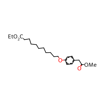 CCOC(=O)CCCCCCCCCCOc1ccc(CC(=O)OC)cc1